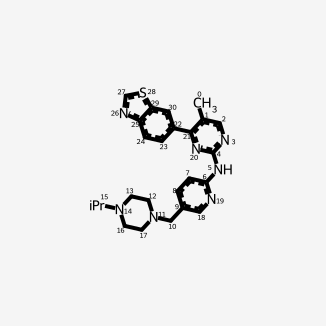 Cc1cnc(Nc2ccc(CN3CCN(C(C)C)CC3)cn2)nc1-c1ccc2ncsc2c1